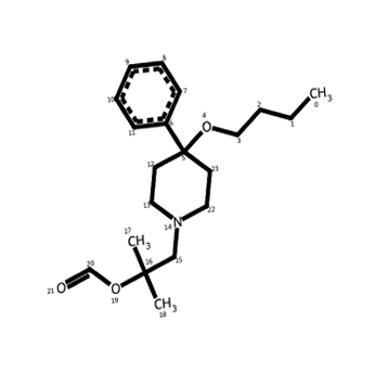 CCCCOC1(c2ccccc2)CCN(CC(C)(C)O[C]=O)CC1